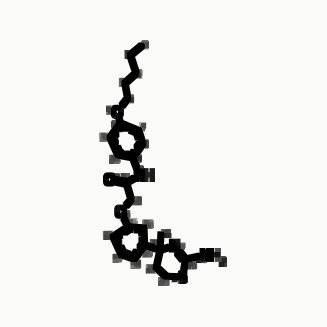 CCCCCOc1ccc(NC(=O)COc2cccc(C3(C)CCSC(N)=N3)c2)cc1